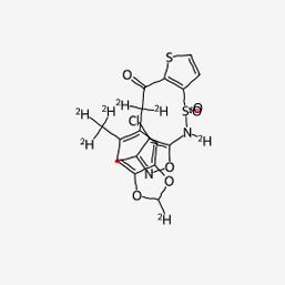 [2H]C1Oc2cc(C([2H])([2H])[2H])c(C([2H])([2H])C(=O)c3sccc3S(=O)(=O)N([2H])c3onc(C)c3Cl)cc2O1